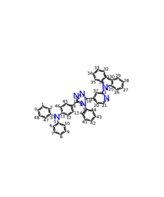 c1ccc(N(c2ccccc2)c2ccc(-c3nnc(-c4ccnc(-n5c6ccccc6c6ccccc65)c4)n3-c3ccccc3)cc2)cc1